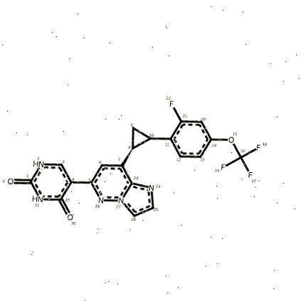 O=c1[nH]cc(-c2cc([C@H]3CC3c3ccc(OC(F)(F)F)cc3F)c3nccn3n2)c(=O)[nH]1